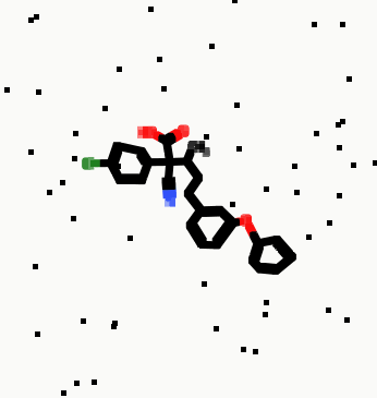 CC(CCc1cccc(Oc2ccccc2)c1)C(C#N)(C(=O)O)c1ccc(Cl)cc1